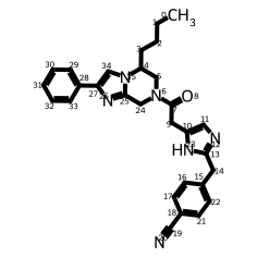 CCCCC1CN(C(=O)Cc2cnc(Cc3ccc(C#N)cc3)[nH]2)Cc2nc(-c3ccccc3)cn21